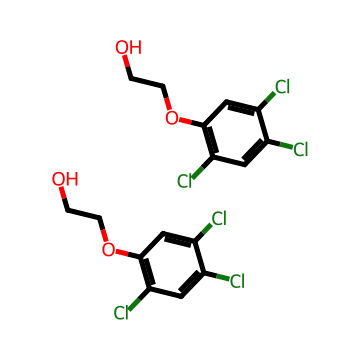 OCCOc1cc(Cl)c(Cl)cc1Cl.OCCOc1cc(Cl)c(Cl)cc1Cl